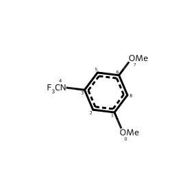 COc1cc(NC(F)(F)F)cc(OC)c1